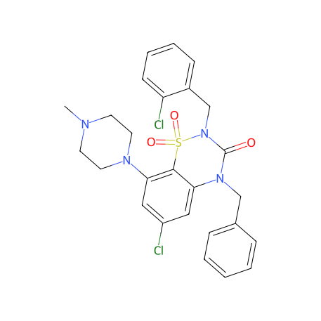 CN1CCN(c2cc(Cl)cc3c2S(=O)(=O)N(Cc2ccccc2Cl)C(=O)N3Cc2ccccc2)CC1